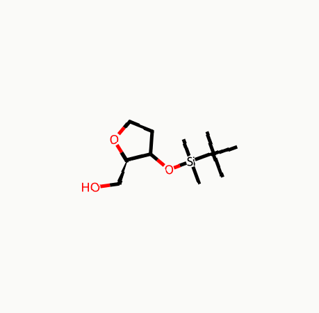 CC(C)(C)[Si](C)(C)OC1CCO[C@@H]1CO